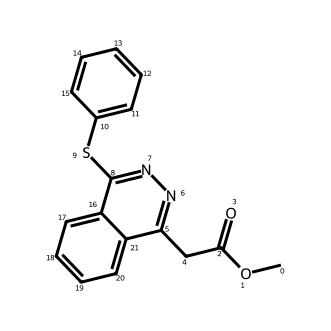 COC(=O)Cc1nnc(Sc2ccccc2)c2ccccc12